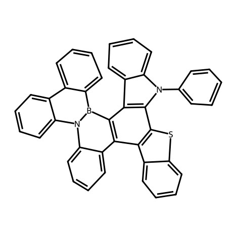 c1ccc(-n2c3ccccc3c3c4c(c5c6ccccc6sc5c32)-c2ccccc2N2B4c3ccccc3-c3ccccc32)cc1